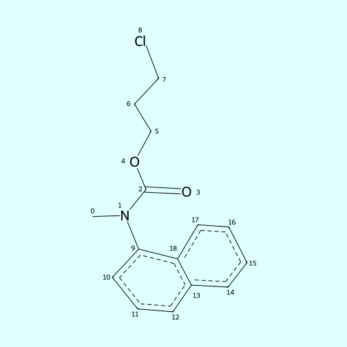 CN(C(=O)OCCCCl)c1cccc2ccccc12